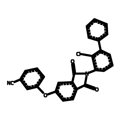 N#Cc1cccc(Oc2ccc3c(c2)C(=O)N(c2cccc(-c4ccccc4)c2Cl)C3=O)c1